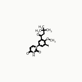 COc1c(I)cc(-n2ccc(=O)[nH]c2=O)cc1C(=O)CC(C)(C)C